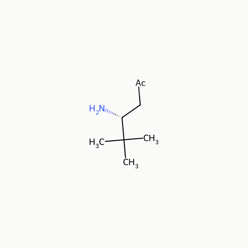 CC(=O)C[C@@H](N)C(C)(C)C